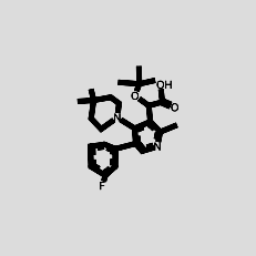 Cc1ncc(-c2cccc(F)c2)c(N2CCC(C)(C)CC2)c1C(OC(C)(C)C)C(=O)O